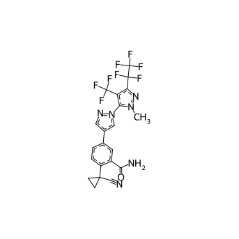 Cn1nc(C(F)(F)C(F)(F)F)c(C(F)(F)F)c1-n1cc(-c2ccc(C3(C#N)CC3)c(C(N)=O)c2)cn1